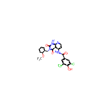 O=C(Nc1ccnc2[nH]c(=O)n(Cc3ccccc3OC(F)(F)F)c(=O)c12)c1cc(Cl)c(O)c(Cl)c1